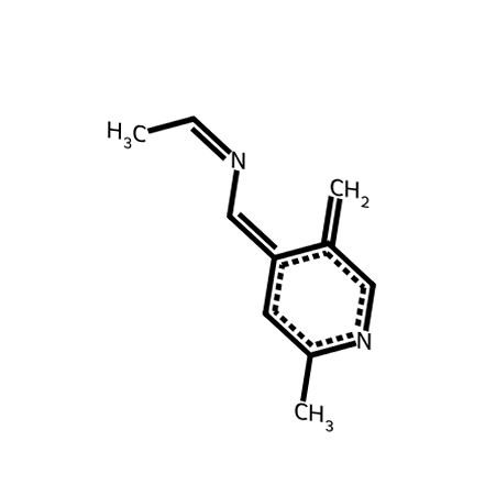 C=c1cnc(C)c/c1=C/N=C\C